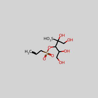 C=CCS(=O)(=O)OC(C(O)CO)C(O)(CO)S(=O)(=O)O